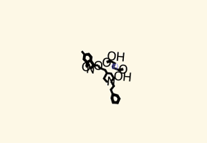 Cc1ccc2c(OCCC3CCN(CCc4ccccc4)CC3)noc2c1.O=C(O)/C=C/C(=O)O